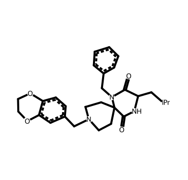 CC(C)CC1NC(=O)C2(CCN(Cc3ccc4c(c3)OCCO4)CC2)N(Cc2ccccc2)C1=O